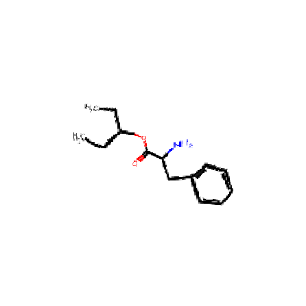 CCC(CC)OC(=O)C(N)Cc1ccccc1